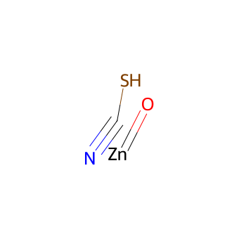 N#CS.[O]=[Zn]